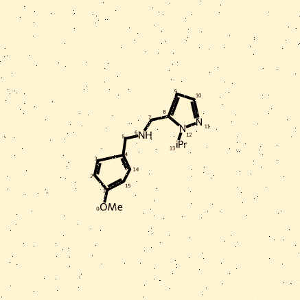 COc1ccc(CNCc2ccnn2C(C)C)cc1